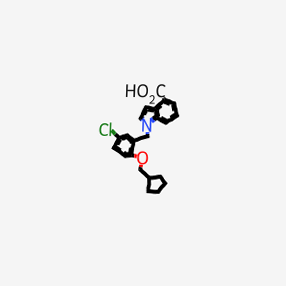 O=C(O)c1cccc2c1ccn2Cc1cc(Cl)ccc1OCC1CCCC1